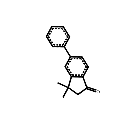 CC1(C)CC(=O)c2ccc(-c3ccccc3)cc21